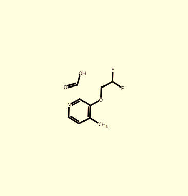 Cc1ccncc1OCC(F)F.O=CO